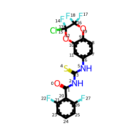 O=C(NC(=S)Nc1ccc2c(c1)OC(F)(Cl)C(F)(F)O2)c1c(F)cccc1F